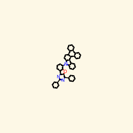 c1ccc(-c2nc(-c3ccccc3)c3oc4c(-n5c6ccccc6c6c7c8ccccc8c8ccccc8c7ccc65)cccc4c3n2)cc1